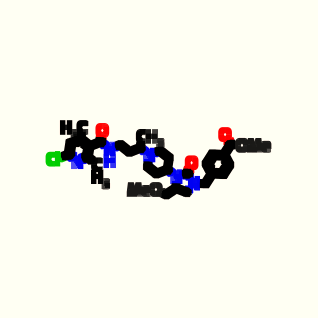 COCC1CN(Cc2ccc(C(=O)OC)cc2)C(=O)N1C1CCN(C(C)CCNC(=O)c2c(C)cc(Cl)nc2C)CC1